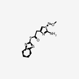 CON=S1C=C(CC(=O)Sc2nc3ccccc3s2)N=C1N